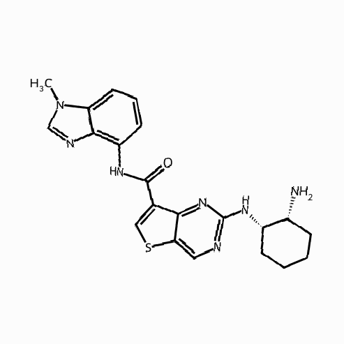 Cn1cnc2c(NC(=O)c3csc4cnc(N[C@H]5CCCC[C@H]5N)nc34)cccc21